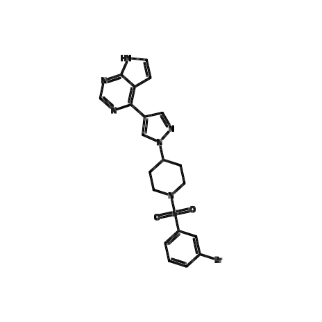 O=S(=O)(c1cccc(Br)c1)N1CCC(n2cc(-c3ncnc4[nH]ccc34)cn2)CC1